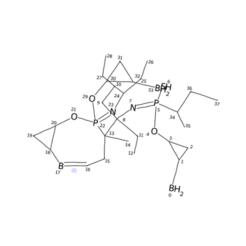 BC1CC1OP(S)(=NC(CC)(CC)C1(C)C/C=B\C2CC2OP1(=NC(CC)CC)OC1CC1B)C(C)CC